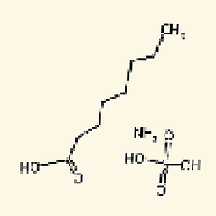 CCCCCCCC(=O)O.N.O=S(=O)(O)O